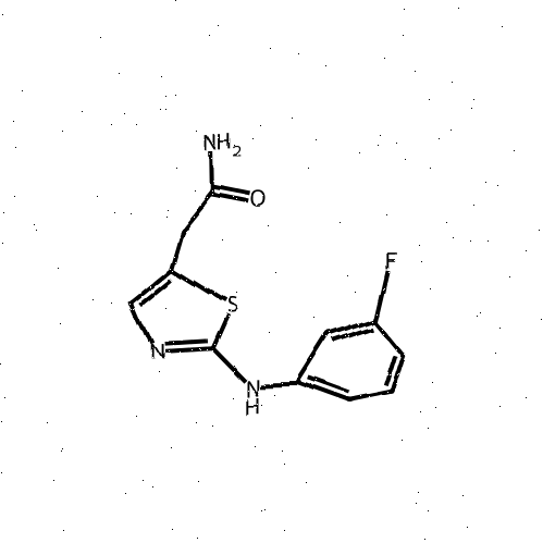 NC(=O)Cc1cnc(Nc2cccc(F)c2)s1